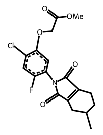 COC(=O)COc1cc(N2C(=O)C3=C(CC(C)CC3)C2=O)c(F)cc1Cl